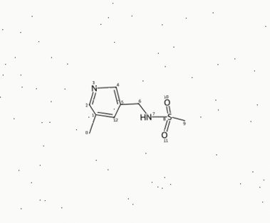 Cc1cncc(CNS(C)(=O)=O)c1